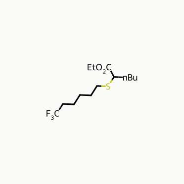 CCCCC(SCCCCCC(F)(F)F)C(=O)OCC